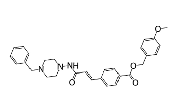 COc1ccc(COC(=O)c2ccc(C=CC(=O)NN3CCN(Cc4ccccc4)CC3)cc2)cc1